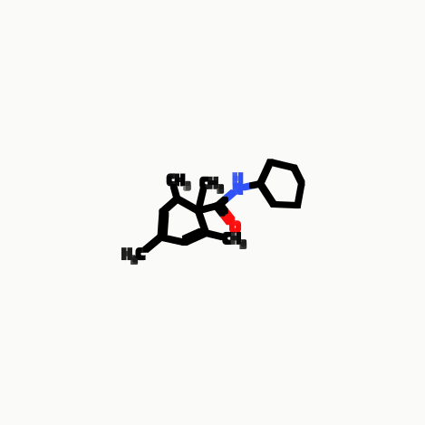 CC1=CC(C)C(C)(C(=O)NC2CCCCC2)C(C)=C1